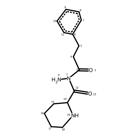 NN(C(=O)CCc1ccccc1)C(=O)C1CCCCN1